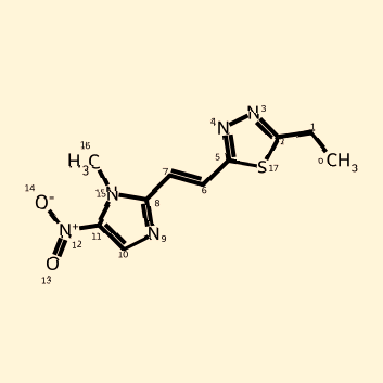 CCc1nnc(C=Cc2ncc([N+](=O)[O-])n2C)s1